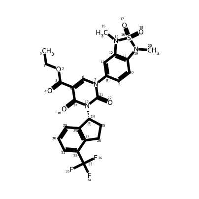 CCOC(=O)c1cn(-c2ccc3c(c2)N(C)S(=O)(=O)N3C)c(=O)n([C@@H]2CCc3c2cccc3C(F)(F)F)c1=O